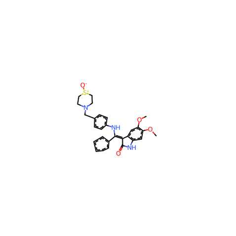 COc1cc2c(cc1OC)C(=C(Nc1ccc(CN3CC[S+]([O-])CC3)cc1)c1ccccc1)C(=O)N2